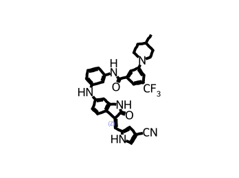 CC1CCN(c2cc(C(=O)Nc3cccc(Nc4ccc5c(c4)NC(=O)/C5=C\c4cc(C#N)c[nH]4)c3)cc(C(F)(F)F)c2)CC1